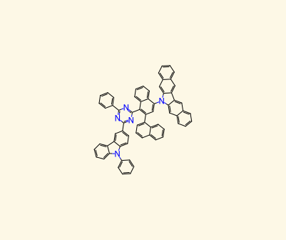 c1ccc(-c2nc(-c3ccc4c(c3)c3ccccc3n4-c3ccccc3)nc(-c3c(-c4cccc5ccccc45)cc(-n4c5cc6ccccc6cc5c5cc6ccccc6cc54)c4ccccc34)n2)cc1